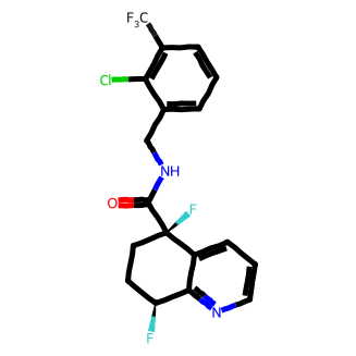 O=C(NCc1cccc(C(F)(F)F)c1Cl)[C@@]1(F)CC[C@H](F)c2ncccc21